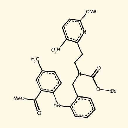 COC(=O)c1cc(C(F)(F)F)ccc1Nc1ccccc1CN(CCc1nc(OC)ccc1[N+](=O)[O-])C(=O)OC(C)(C)C